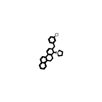 Clc1cccc(CC2C=CC3=C(CCc4c3ccc3ccccc43)C2N2CCCC2)c1